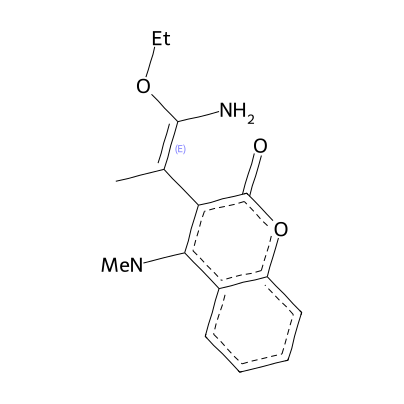 CCO/C(N)=C(\C)c1c(NC)c2ccccc2oc1=O